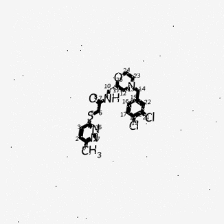 Cc1ccc(SCC(=O)NC[C@H]2CN(Cc3ccc(Cl)c(Cl)c3)CCO2)nn1